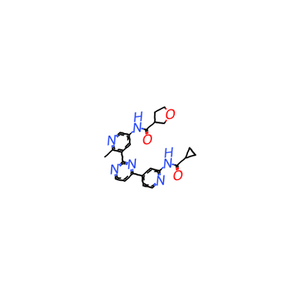 Cc1ncc(NC(=O)C2CCOC2)cc1-c1nccc(-c2ccnc(NC(=O)C3CC3)c2)n1